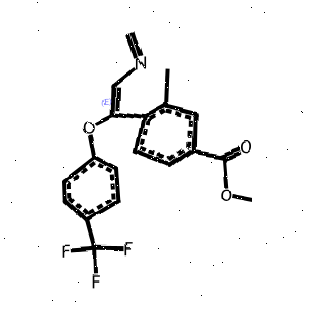 C=N/C=C(/Oc1ccc(C(F)(F)F)cc1)c1ccc(C(=O)OC)cc1C